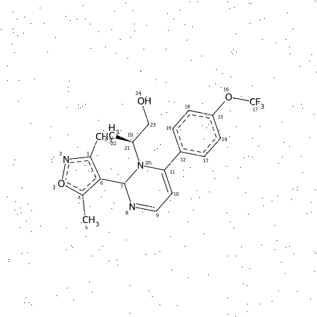 Cc1noc(C)c1C1N=CC=C(c2ccc(OC(F)(F)F)cc2)N1[C@@H](C)CO